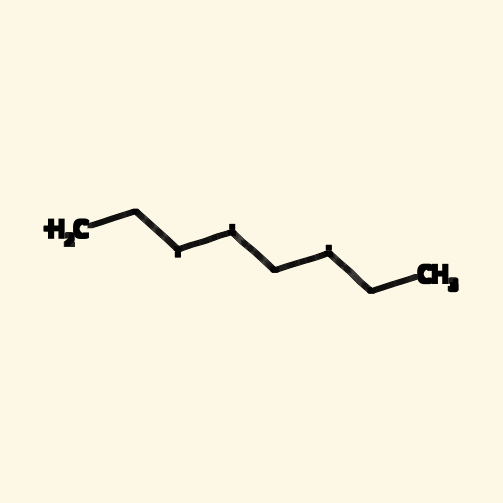 [CH2]C[CH][CH]C[CH]CC